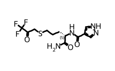 NC(=O)[C@H](CCCSCC(=O)C(F)(F)F)NC(=O)c1cn[nH]c1